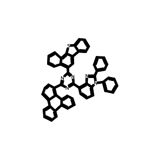 c1ccc(-c2nc3c(-c4nc(-c5cc6c7ccccc7sc6c6ccccc56)nc(-c5cccc6c7ccccc7c7ccccc7c56)n4)cccc3n2-c2ccccc2)cc1